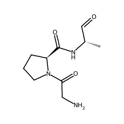 C[C@@H](C=O)NC(=O)[C@@H]1CCCN1C(=O)CN